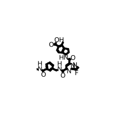 CNC(=O)c1cccc(CNC(=O)c2cc(C(=O)N[C@H]3CCc4c3ccc(C(=O)O)c4C)n3ncc(F)c3n2)c1